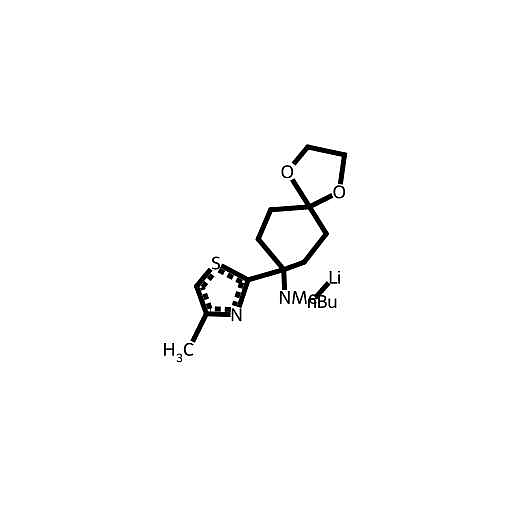 CNC1(c2nc(C)cs2)CCC2(CC1)OCCO2.[Li][CH2]CCC